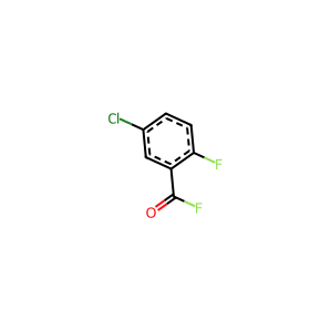 O=C(F)c1cc(Cl)ccc1F